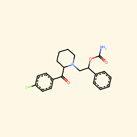 NC(=O)OC(CN1CCCCC1C(=O)c1ccc(F)cc1)c1ccccc1